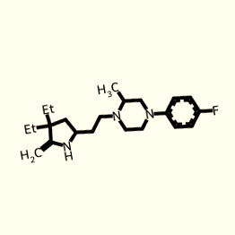 C=C1NC(CCN2CCN(c3ccc(F)cc3)CC2C)CC1(CC)CC